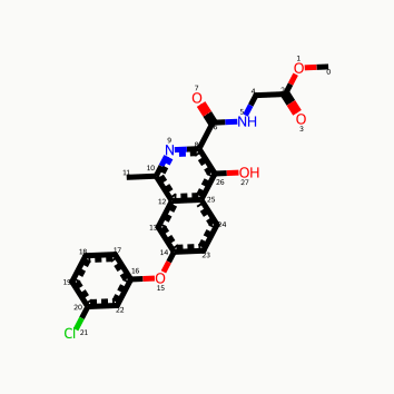 COC(=O)CNC(=O)c1nc(C)c2cc(Oc3cccc(Cl)c3)ccc2c1O